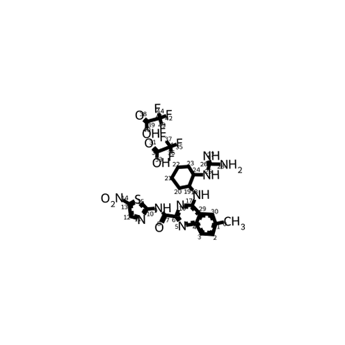 Cc1ccc2nc(C(=O)Nc3ncc([N+](=O)[O-])s3)nc(NC3CCCCC3NC(=N)N)c2c1.O=C(O)C(F)(F)F.O=C(O)C(F)(F)F